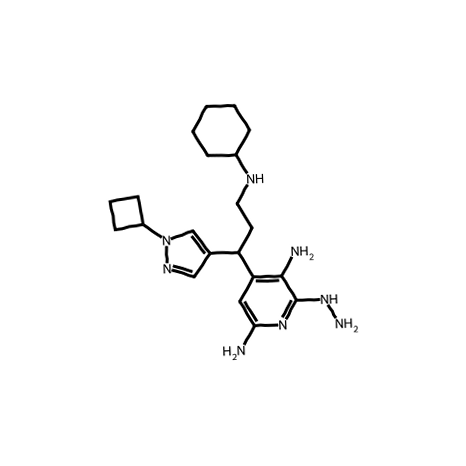 NNc1nc(N)cc(C(CCNC2CCCCC2)c2cnn(C3CCC3)c2)c1N